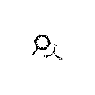 CCP(CC)CC.Cc1ccccc1